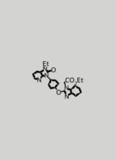 CCOC(=O)Cn1c(Oc2ccc(-n3c(=O)n(CC)c4cccnc43)cc2)nc2ccccc21